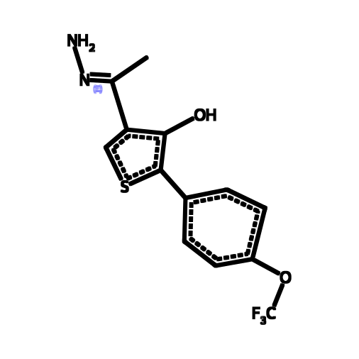 C/C(=N\N)c1csc(-c2ccc(OC(F)(F)F)cc2)c1O